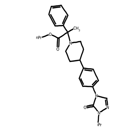 CCCOC(=O)C(C)(c1ccccc1)N1CCC(c2ccc(-n3cnn(C(C)C)c3=O)cc2)CC1